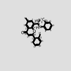 Cc1cc([C@@H](C)Nc2ccccc2C(=O)O)c2oc(-c3ccccc3C)cc(=O)c2c1